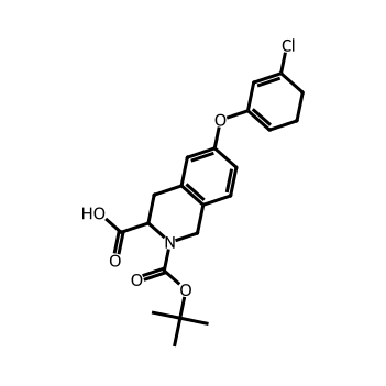 CC(C)(C)OC(=O)N1Cc2ccc(OC3=CCCC(Cl)=C3)cc2CC1C(=O)O